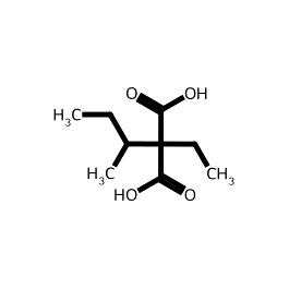 CCC(C)C(CC)(C(=O)O)C(=O)O